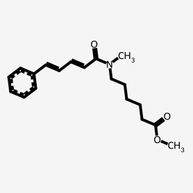 COC(=O)CCCCCN(C)C(=O)C=CC=Cc1ccccc1